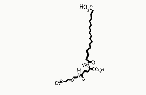 CCOCCOCCNC(=O)CCC(NC(=O)CCCCCCCCCCCCCCCCC(=O)O)C(=O)O